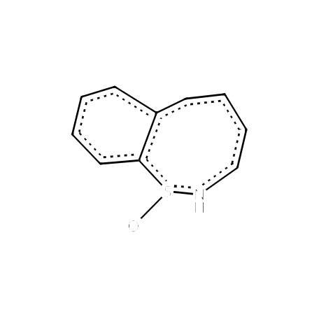 [O-][s+]1[nH]ccccc2ccccc21